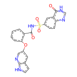 O=C(NS(=O)(=O)c1ccc2nc[nH]c(=O)c2c1)c1ccccc1Oc1cnc2[nH]ccc2c1